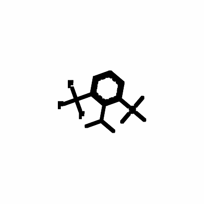 CC(C)c1c(C(F)(F)F)cccc1[Si](C)(C)C